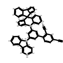 N#Cc1ccc(-c2cc(N3c4ccccc4C4(c5ccccc5-c5ccccc54)c4ccccc43)cc(-n3c4ccccc4c4cnccc43)c2)c(C#N)c1